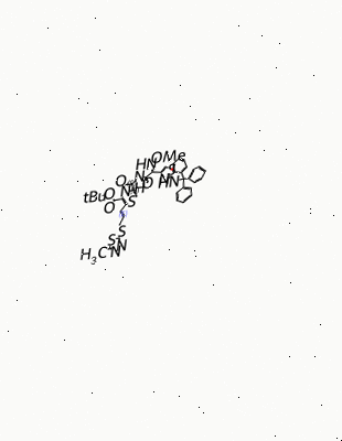 CON=C(C(=O)N[C@@H]1C(=O)N2C(C(=O)OC(C)(C)C)=C(/C=C/CSc3nnc(C)s3)SC[C@H]12)c1csc(NC(c2ccccc2)(c2ccccc2)c2ccccc2)n1